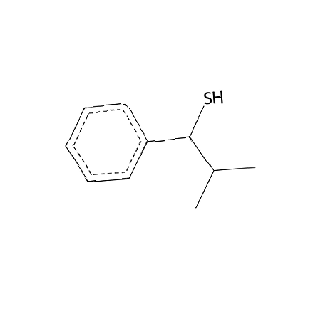 CC(C)C(S)c1ccccc1